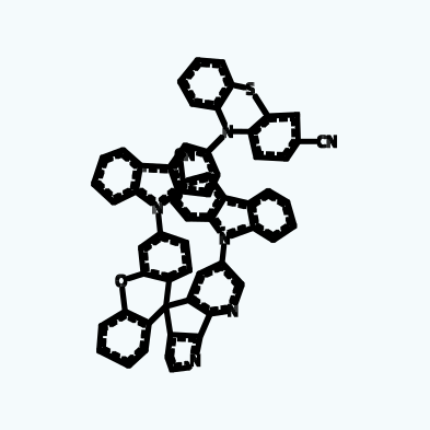 N#Cc1ccc2c(c1)Sc1ccccc1N2c1ccc2c(c1)c1ccccc1n2-c1ccc2c(c1)Oc1ccccc1C21c2cccnc2-c2ncc(-n3c4ccccc4c4cc(C#N)ccc43)cc21